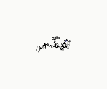 CN(C)/C=N\c1nc2c(ncn2[C@H]2C[C@@H](OCSSC(C)(C)CNC(=O)C(F)(F)F)[C@@H](CO[Si](C)(C)C(C)(C)C)O2)c(=O)[nH]1